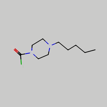 CCCCCN1CCN(C(=O)Cl)CC1